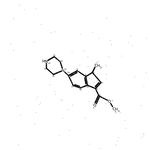 COC(=O)C1=CC(C)c2cc(N3CCNCC3)ccc21